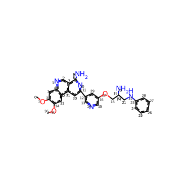 COc1cc2ncc3c(N)nc(-c4cncc(OC[C@@H](N)CNc5ccccc5)c4)cc3c2cc1OC